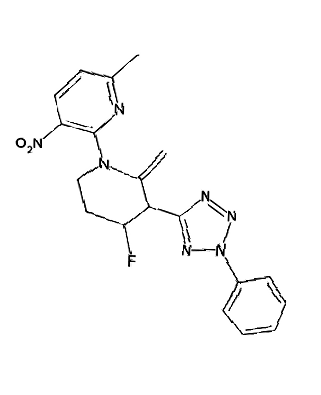 C=C1C(c2nnn(-c3ccccc3)n2)C(F)CCN1c1nc(C)ccc1[N+](=O)[O-]